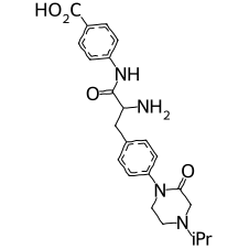 CC(C)N1CCN(c2ccc(CC(N)C(=O)Nc3ccc(C(=O)O)cc3)cc2)C(=O)C1